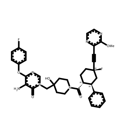 COc1nccnc1C#C[C@@]1(F)CC[C@@H](C(=O)N2CCC(O)(Cn3cnc(Oc4ccc(F)cc4)c(N)c3=O)CC2)[C@H](c2ccccc2)C1